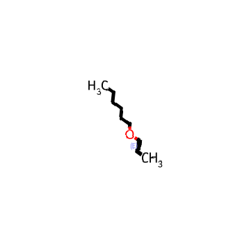 C/C=C/OCCCCCC